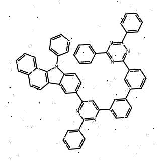 c1ccc(-c2nc(-c3cccc(-c4cccc(-c5nc(-c6ccccc6)nc(-c6ccccc6)n5)c4)c3)cc(-c3ccc4c(c3)c3ccc5ccccc5c3n4-c3ccccc3)n2)cc1